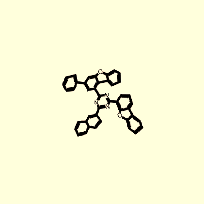 C1=CC2C=CC(c3nc(-c4cccc5c4oc4ccccc45)nc(-c4cc(-c5ccccc5)cc5oc6ccccc6c45)n3)=CC2C=C1